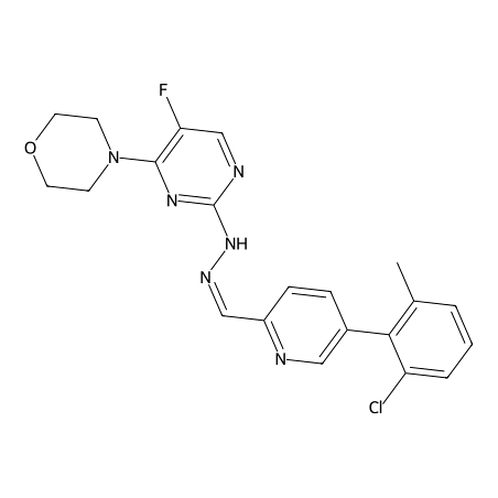 Cc1cccc(Cl)c1-c1ccc(/C=N\Nc2ncc(F)c(N3CCOCC3)n2)nc1